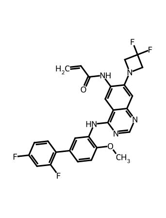 C=CC(=O)Nc1cc2c(Nc3cc(-c4ccc(F)cc4F)ccc3OC)ncnc2cc1N1CC(F)(F)C1